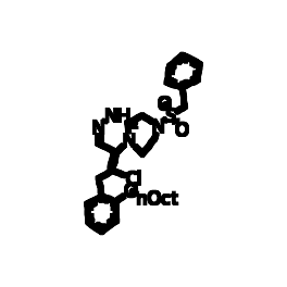 CCCCCCCCOc1ccccc1C/C(Cl)=C(\C=N/N)N1CCN(S(=O)(=O)Cc2ccccc2)CC1